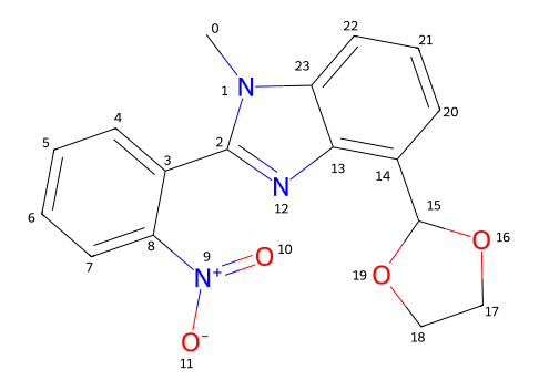 Cn1c(-c2ccccc2[N+](=O)[O-])nc2c(C3OCCO3)cccc21